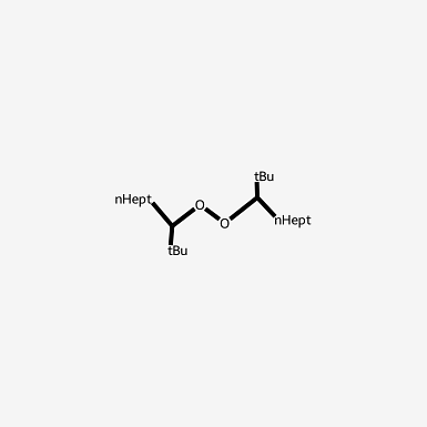 CCCCCCCC(OOC(CCCCCCC)C(C)(C)C)C(C)(C)C